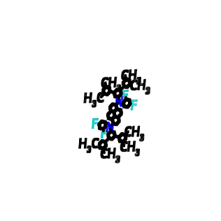 Cc1cc(C)cc(-c2cc(-c3cc(C)cc(C)c3)cc(N(c3ccc(F)cc3F)c3ccc4ccc5c(N(c6cc(-c7cc(C)cc(C)c7)cc(-c7cc(C)cc(C)c7)c6)c6ccc(F)cc6F)ccc6ccc3c4c65)c2)c1